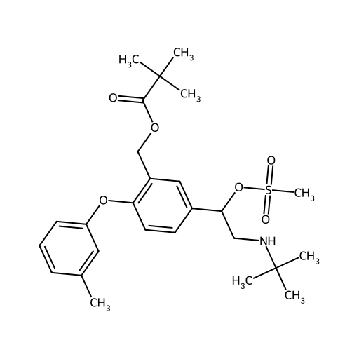 Cc1cccc(Oc2ccc(C(CNC(C)(C)C)OS(C)(=O)=O)cc2COC(=O)C(C)(C)C)c1